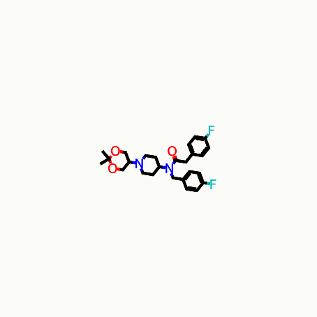 CC1(C)OCC(N2CCC(N(Cc3ccc(F)cc3)C(=O)Cc3ccc(F)cc3)CC2)CO1